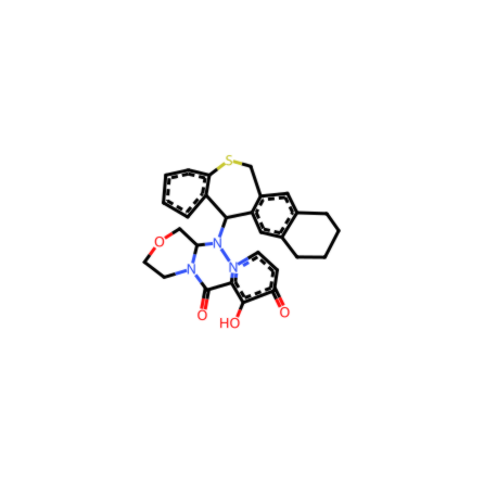 O=C1c2c(O)c(=O)ccn2N(C2c3cc4c(cc3CSc3ccccc32)CCCC4)C2COCCN12